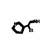 [CH2]CC(C=N)c1cccnc1